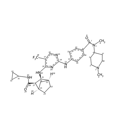 CN1CCC(N(C)C(=O)c2ccc(Nc3ncc(C(F)(F)F)c(N[C@H]4[C@H]5CC[C@H](C5)[C@H]4C(=O)NC4CC4)n3)cc2)CC1